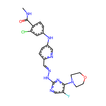 CNC(=O)c1ccc(Nc2ccc(/C=N/Nc3ncc(F)c(N4CCOCC4)n3)nc2)cc1Cl